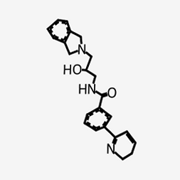 O=C(NCC(O)CN1Cc2ccccc2C1)c1cccc(C2=NCCC=C2)c1